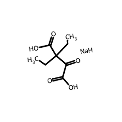 CCC(CC)(C(=O)O)C(=O)C(=O)O.[NaH]